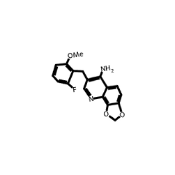 COc1cccc(F)c1Cc1cnc2c3c(ccc2c1N)OCO3